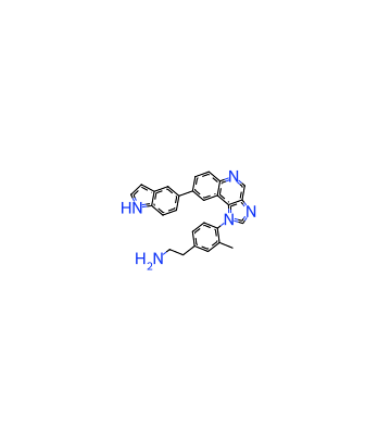 Cc1cc(CCN)ccc1-n1cnc2cnc3ccc(-c4ccc5[nH]ccc5c4)cc3c21